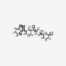 Cc1c(C(=O)N2CCN(c3cccc(Cl)c3)CC2)cccc1-n1nnc2cccnc21